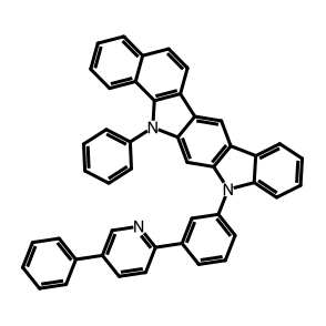 c1ccc(-c2ccc(-c3cccc(-n4c5ccccc5c5cc6c7ccc8ccccc8c7n(-c7ccccc7)c6cc54)c3)nc2)cc1